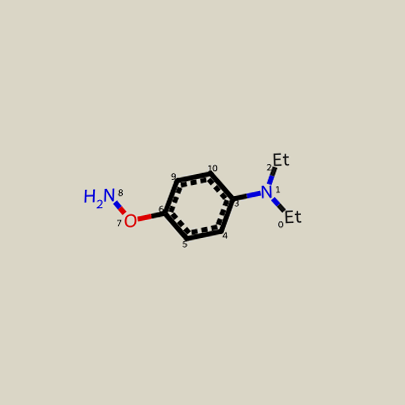 CCN(CC)c1ccc(ON)cc1